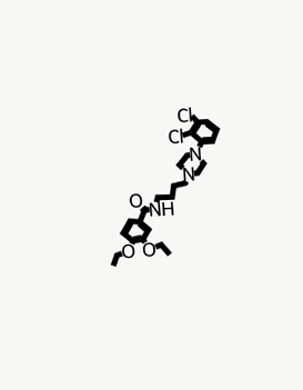 CCOc1ccc(C(=O)NCCCCN2CCN(c3cccc(Cl)c3Cl)CC2)cc1OCC